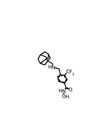 O=C(NO)c1ccc(CNCC23CC4CC(CC(C4)C2)C3)c(C(F)(F)F)c1